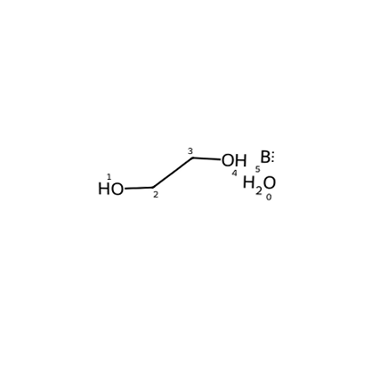 O.OCCO.[B]